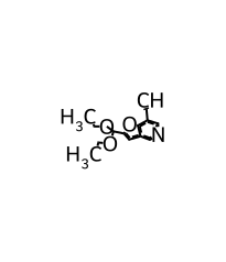 C#Cc1cncc2cc(C(OCC)OCC)oc12